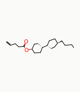 C=CCCC(=O)O[C@H]1CC[C@H]([C@H]2CC[C@H](CCCC)CC2)CC1